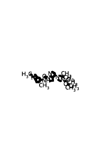 Cc1cc2nn(C)cc2cc1NC(=O)N1CCc2c(N3CCN(C(=O)OC(C)(C)C)C(C)(C)C3)ccnc21